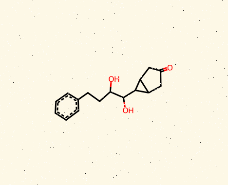 O=C1CC2C(C1)C2C(O)C(O)CCc1ccccc1